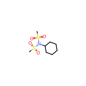 CS(=O)(=O)N(C1CCCCC1)S(C)(=O)=O